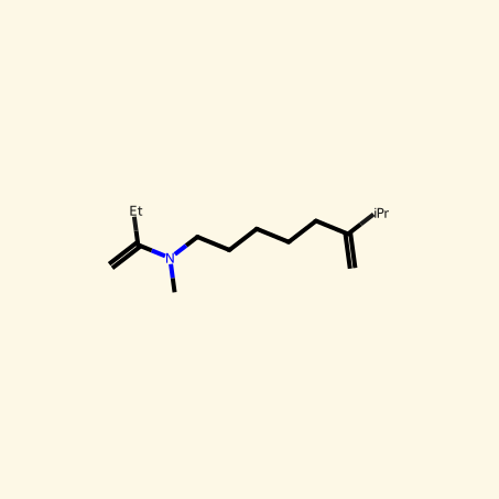 C=C(CCCCCN(C)C(=C)CC)C(C)C